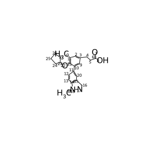 Cc1cc(CCC(=O)O)cc(-c2ccc3c(cnn3C)c2)c1OC1CCCC1